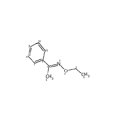 CCON=C(C)c1cc[c]cc1